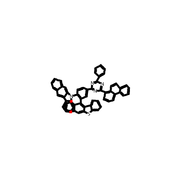 c1ccc(-c2nc(-c3ccc(-n4c5ccccc5c5cc6ccccc6cc54)c(-c4c5ccccc5cc5sc6ccccc6c45)c3)nc(-c3cccc4c3ccc3ccccc34)n2)cc1